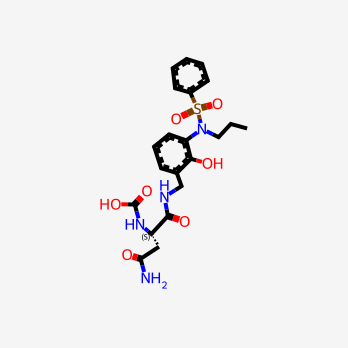 CCCN(c1cccc(CNC(=O)[C@H](CC(N)=O)NC(=O)O)c1O)S(=O)(=O)c1ccccc1